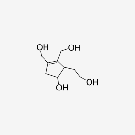 OCCC1C(CO)=C(CO)CC1O